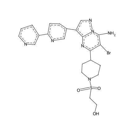 Nc1c(Br)c(C2CCN(S(=O)(=O)CCO)CC2)nc2c(-c3ccc(-c4cccnc4)nc3)cnn12